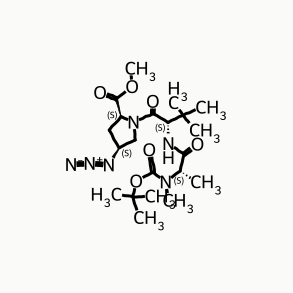 COC(=O)[C@@H]1C[C@H](N=[N+]=[N-])CN1C(=O)[C@@H](NC(=O)[C@H](C)N(C)C(=O)OC(C)(C)C)C(C)(C)C